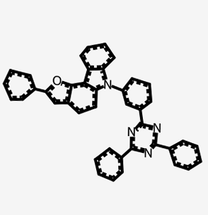 c1ccc(-c2nc(-c3ccccc3)nc(-c3cccc(-n4c5ccccc5c5c6oc(-c7ccccc7)cc6ccc54)c3)n2)cc1